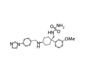 COc1cccc([C@]2(CNS(N)(=O)=O)CC[C@@H](NCc3ccc(-n4ccnc4)cc3)CC2)c1